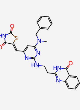 CN(Cc1ccccc1)c1cc(/C=C2\SC(=O)NC2=O)nc(NCCc2nc3ccccc3c(=O)[nH]2)n1